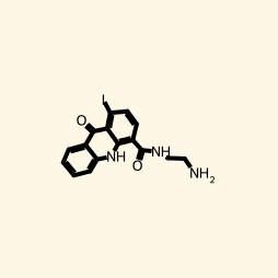 NCCNC(=O)c1ccc(I)c2c(=O)c3ccccc3[nH]c12